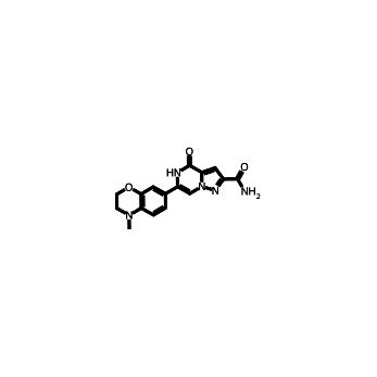 CN1CCOc2cc(-c3cn4nc(C(N)=O)cc4c(=O)[nH]3)ccc21